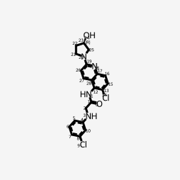 O=C(CNc1cccc(Cl)c1)Nc1c(Cl)ccc2nc(N3CC[C@@H](O)C3)ccc12